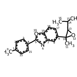 Cc1ccc(-c2nc3cc(C4(C)OC4C(C)C)ccc3o2)cc1